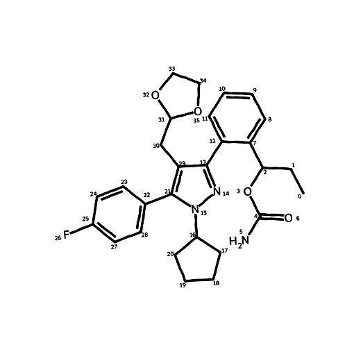 CCC(OC(N)=O)c1ccccc1-c1nn(C2CCCC2)c(-c2ccc(F)cc2)c1CC1OCCO1